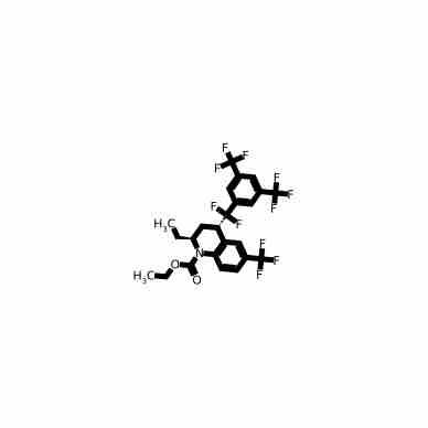 CCOC(=O)N1c2ccc(C(F)(F)F)cc2[C@@H](C(F)(F)c2cc(C(F)(F)F)cc(C(F)(F)F)c2)C[C@@H]1CC